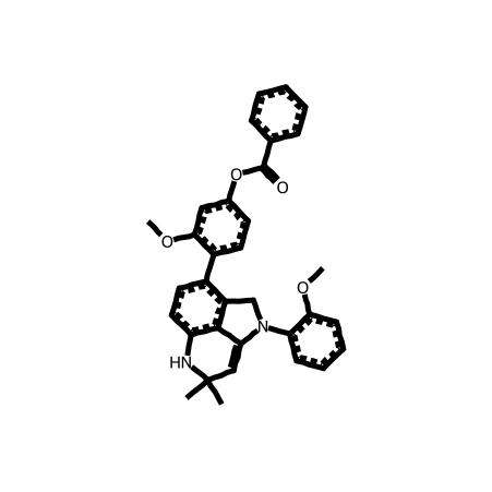 COc1cc(OC(=O)c2ccccc2)ccc1-c1ccc2c3c1CN(c1ccccc1OC)C3=CC(C)(C)N2